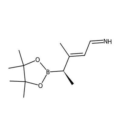 C/C(=C\C=N)[C@@H](C)B1OC(C)(C)C(C)(C)O1